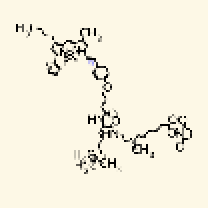 CCCCc1cc(-c2cccs2)n2c1C=C1C(C)=CC(/C=C/c3ccc(OCCCC(=O)NC(CCCC[N+](C)(C)C)C(=O)NCCN(C)CCCCCC(=O)ON4C(=O)CCC4=O)cc3)=[N+]1[B-]2(F)F